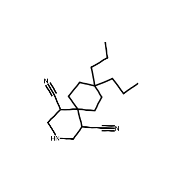 CCCC1(CCC)CCC2(CC1)C(C#N)CNCC2C#N